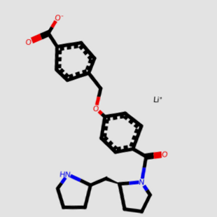 O=C([O-])c1ccc(COc2ccc(C(=O)N3CCC[C@H]3CC3CCCN3)cc2)cc1.[Li+]